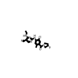 CCNc1nc(Nc2cc(C)c(C(=O)N3CC[C@H](F)C3)cc2Cl)ncc1C#N